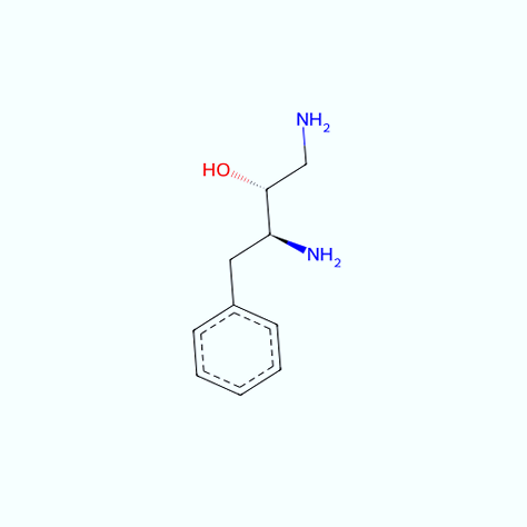 NC[C@@H](O)[C@@H](N)Cc1ccccc1